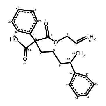 C=CCOC(=O)C(CCCC(C)c1ccccc1)(C(=O)O)c1ccccc1